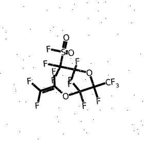 O=S(=O)(F)C(F)(F)C(F)(F)OC(F)(C(F)(F)F)C(F)(F)OC(F)=C(F)F